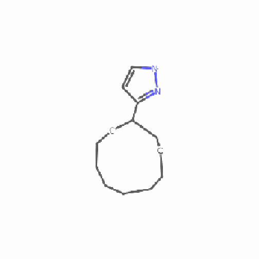 C1=CC(C2CCCCCCCCC2)=N[N]1